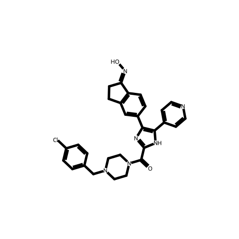 O=C(c1nc(-c2ccc3c(c2)CCC3=NO)c(-c2ccncc2)[nH]1)N1CCN(Cc2ccc(Cl)cc2)CC1